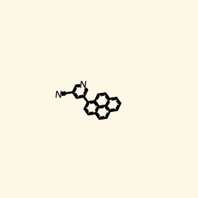 N#Cc1cncc(-c2ccc3ccc4cccc5ccc2c3c45)c1